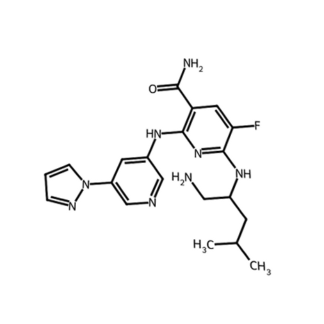 CC(C)CC(CN)Nc1nc(Nc2cncc(-n3cccn3)c2)c(C(N)=O)cc1F